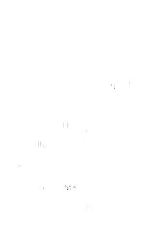 CCN(CCCOC(=O)C1=C(C)NC(C)=C(C(=O)OC)C1c1cccc(Cl)c1F)Cc1ccccc1